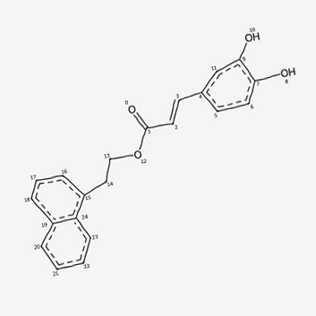 O=C(C=Cc1ccc(O)c(O)c1)OCCc1cccc2ccccc12